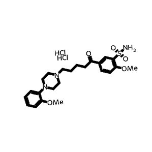 COc1ccccc1N1CCN(CCCCC(=O)c2ccc(OC)c(S(N)(=O)=O)c2)CC1.Cl.Cl